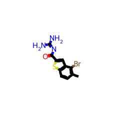 Cc1ccc2sc(C(=O)N=C(N)N)cc2c1Br